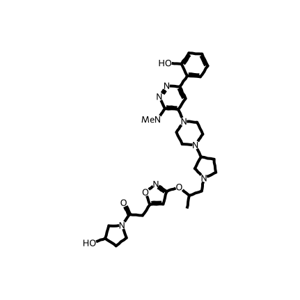 CNc1nnc(-c2ccccc2O)cc1N1CCN(C2CCN(CC(C)Oc3cc(CC(=O)N4CCC(O)C4)on3)C2)CC1